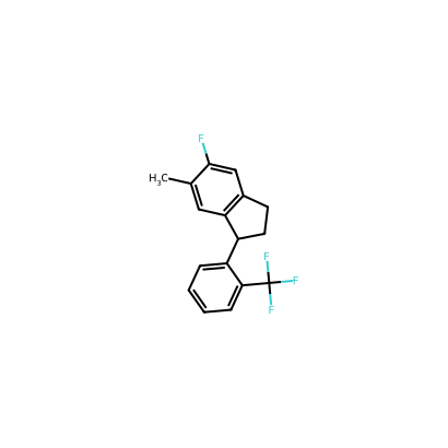 Cc1cc2c(cc1F)CCC2c1ccccc1C(F)(F)F